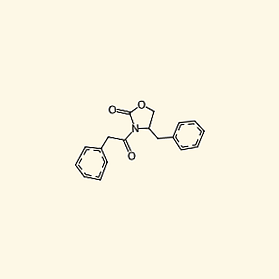 O=C(Cc1ccccc1)N1C(=O)OCC1Cc1ccccc1